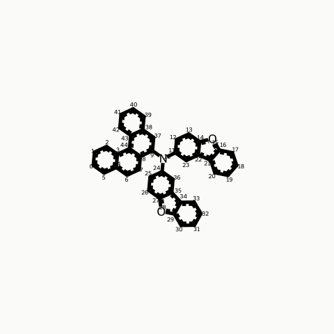 c1ccc2c(c1)ccc1c(N(c3ccc4oc5ccccc5c4c3)c3ccc4oc5ccccc5c4c3)cc3ccccc3c12